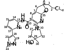 CCCCC1(C)Cc2cc(C(=O)Nc3cccc(-c4cnn(C)c4)n3)c(N3CCC(C)(O)CC3)nc2O1